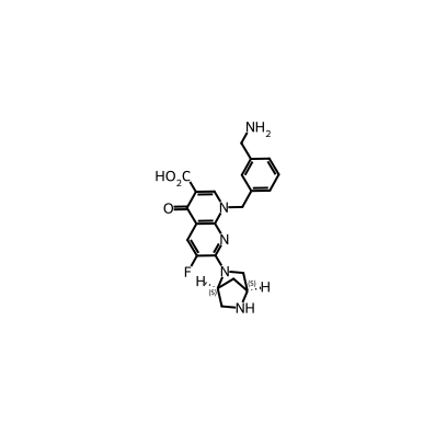 NCc1cccc(Cn2cc(C(=O)O)c(=O)c3cc(F)c(N4C[C@@H]5C[C@H]4CN5)nc32)c1